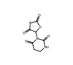 O=C1[N]C(=O)C(N2C(=O)CCNC2=O)O1